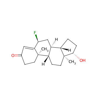 C[C@]12CC[C@H]3[C@@H](C[C@H](F)C4=CC(=O)CC[C@@]43C)[C@@H]1CC[C@@H]2O